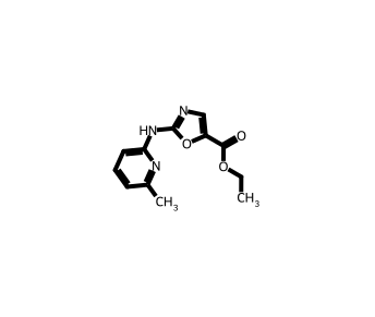 CCOC(=O)c1cnc(Nc2cccc(C)n2)o1